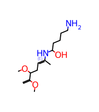 C=C(OC)C(C/C=C(\C)NC(O)CCCCN)OC